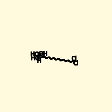 O[PH](O)(O)CCCCCCCCCCCCCC(Cl)Cl